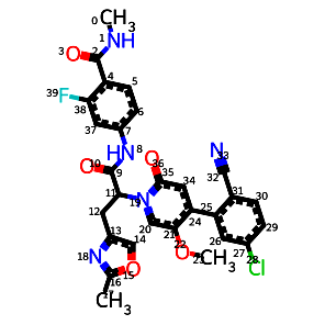 CNC(=O)c1ccc(NC(=O)C(Cc2coc(C)n2)n2cc(OC)c(-c3cc(Cl)ccc3C#N)cc2=O)cc1F